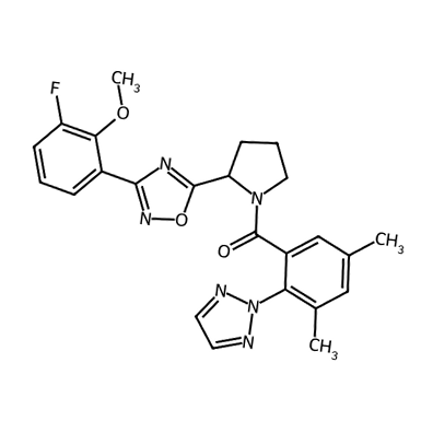 COc1c(F)cccc1-c1noc(C2CCCN2C(=O)c2cc(C)cc(C)c2-n2nccn2)n1